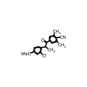 COc1ccc(C(C)C(=O)c2cc(C)c(C#N)c(C)c2)c(Cl)c1